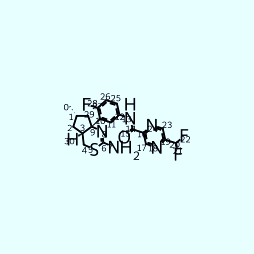 C[C@H]1C[C@H]2CSC(N)=N[C@@]2(c2cc(NC(=O)c3cnc(C(F)F)cn3)ccc2F)C1